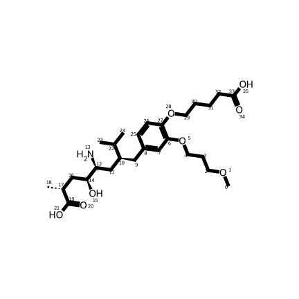 COCCCOc1cc(C[C@@H](C[C@H](N)[C@@H](O)C[C@@H](C)C(=O)O)C(C)C)ccc1OCCCCC(=O)O